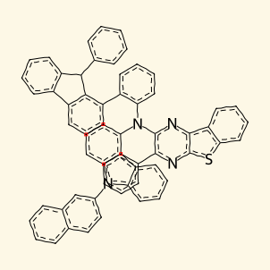 c1ccc(-c2nc3sc4ccccc4c3nc2N(c2ccccc2-c2cccc3c2C(c2ccccc2)c2ccccc2-3)c2cccc3c2c2ccccc2n3-c2ccc3ccccc3c2)cc1